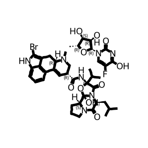 CC(C)C[C@H]1C(=O)N2CCC[C@H]2[C@]2(O)O[C@](NC(=O)[C@@H]3C=C4c5cccc6[nH]c(Br)c(c56)C[C@H]4N(C)C3)(C(C)C)C(=O)N12.C[C@H]1O[C@@H](n2cc(F)c(O)nc2=O)[C@H](O)[C@@H]1O